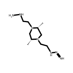 C[C@@H]1CN(CCNN=N)[C@H](C)CN1CCNN